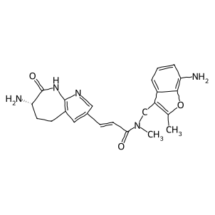 Cc1oc2c(N)cccc2c1CN(C)C(=O)/C=C/c1cnc2c(c1)CC[C@H](N)C(=O)N2